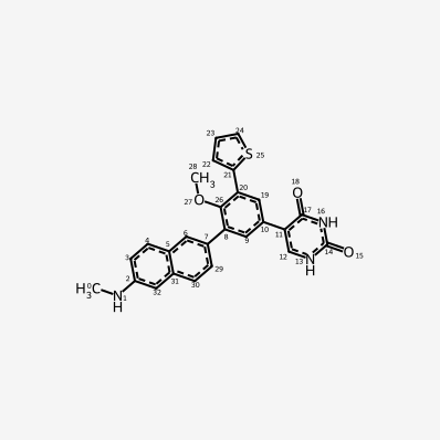 CNc1ccc2cc(-c3cc(-c4c[nH]c(=O)[nH]c4=O)cc(-c4cccs4)c3OC)ccc2c1